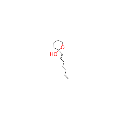 C=CCCCC=CC1(O)CCCCO1